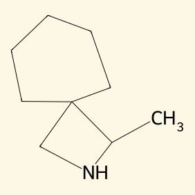 CC1NCC12CCCCC2